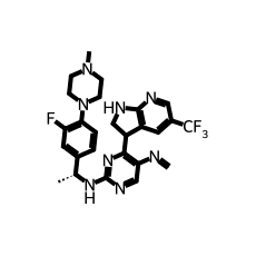 C=Nc1cnc(N[C@H](C)c2ccc(N3CCN(C)CC3)c(F)c2)nc1C1CNc2ncc(C(F)(F)F)cc21